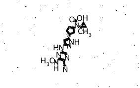 CNc1nc(Nc2cc([C@H]3CC[C@@H](N(C(=O)O)C4(C)CC4)C3)[nH]n2)cnc1C#N